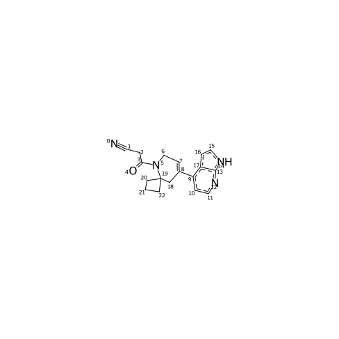 N#CCC(=O)N1CC=C(c2ccnc3[nH]ccc23)CC12CCC2